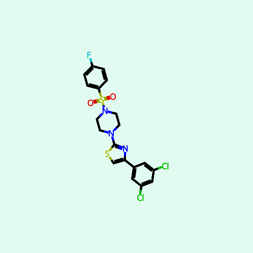 O=S(=O)(c1ccc(F)cc1)N1CCN(c2nc(-c3cc(Cl)cc(Cl)c3)cs2)CC1